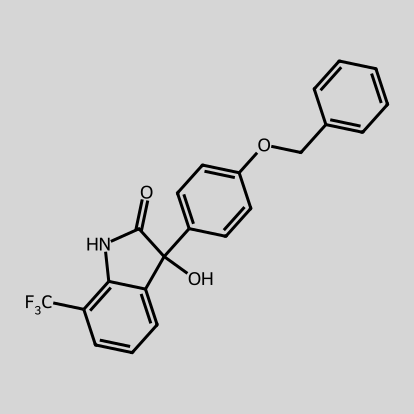 O=C1Nc2c(C(F)(F)F)cccc2C1(O)c1ccc(OCc2ccccc2)cc1